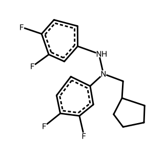 Fc1ccc(NN(CC2CCCC2)c2ccc(F)c(F)c2)cc1F